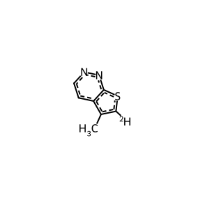 [2H]c1sc2nnccc2c1C